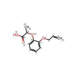 C=CCOc1ccccc1OC(C)C(=O)O